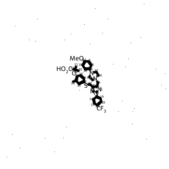 COc1ccc(N2CCN(Cc3nn(-c4ccc(C(F)(F)F)cc4)nc3CSc3ccc(OC(C)(C)C(=O)O)c(C)c3)CC2)cc1